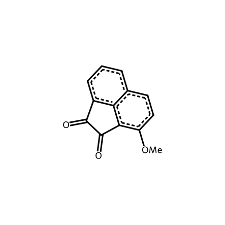 COc1ccc2cccc3c2c1C(=O)C3=O